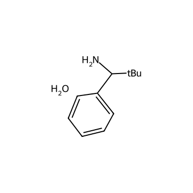 CC(C)(C)C(N)c1ccccc1.O